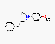 CCOc1ccc(N(CCCc2ccccc2)C(C)C)cc1